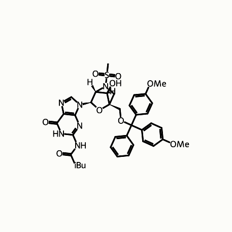 CCC(C)C(=O)Nc1nc2c(ncn2[C@@H]2O[C@@]3(COC(c4ccccc4)(c4ccc(OC)cc4)c4ccc(OC)cc4)CN(S(C)(=O)=O)[C@@H]2[C@@H]3O)c(=O)[nH]1